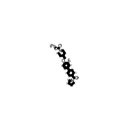 CC(C)OC(=O)N1CCC(COc2ccc(C3=CCC(C(=O)N4CCCC4)CC3)cc2F)CC1